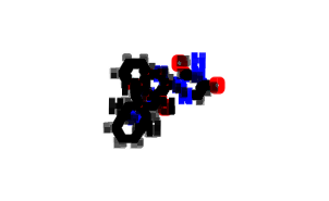 O=c1cnn(-c2nc3ccccc3n([C@H]3C[C@H]4CCC[C@@H](C3)N4[C@H]3C[C@@H]4CCC[C@@H](C4)C3)c2=O)c(=O)[nH]1